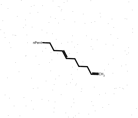 C=CCCCC=CCCCCCCC